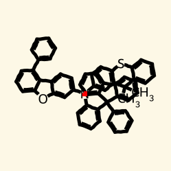 CC1(C)c2ccccc2Sc2ccc(N(c3ccc4c(c3)oc3cccc(-c5ccccc5)c34)c3ccccc3C3(c4ccccc4)c4ccccc4-c4ccccc43)cc21